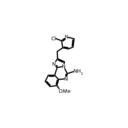 COc1cccc2c1nc(N)n1cc(Cc3cccnc3Cl)nc21